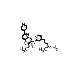 CC/C=C(\Nc1cc(CCCC(C)C)ccn1)Sc1nc(-c2ccncc2)ccc1C